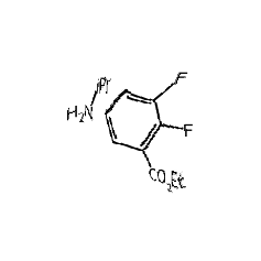 CC(C)N.CCOC(=O)c1cccc(F)c1F